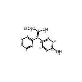 CCOC(=O)/C(C#N)=C(\c1ccccc1)c1ccc(O)cc1